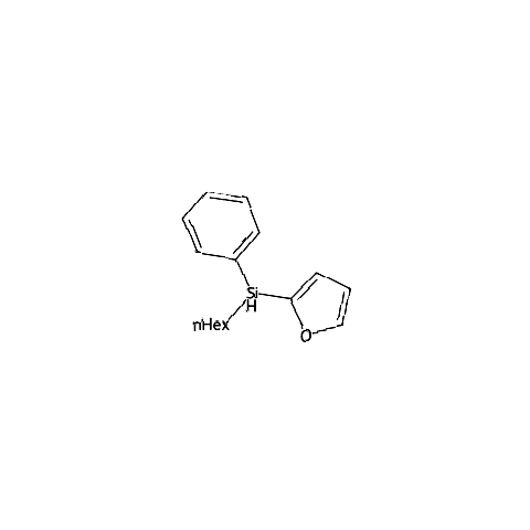 CCCCCC[SiH](c1ccccc1)c1ccco1